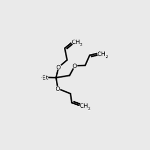 C=CCOCC([CH]C)(OCC=C)OCC=C